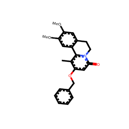 COc1cc2c(cc1OC)-c1c(C)c(OCc3ccccc3)cc(=O)n1CC2